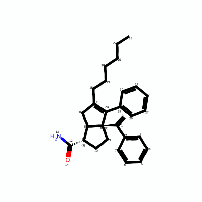 C=C(c1ccccc1)[C@@]12CC[C@H](C(N)=O)C1CC(CCCCCC)=C2c1ccccc1